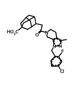 Cc1nn(Cc2ccc(Cl)cc2F)c2c1CCN(C(=O)CC1C3CC4CC1CC(C(=O)O)(C4)C3)C2